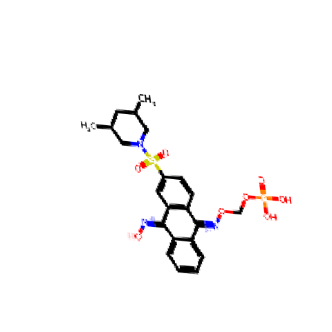 CC1CC(C)CN(S(=O)(=O)c2ccc3c(c2)/C(=N/O)c2ccccc2/C3=N/OCOP(=O)(O)O)C1